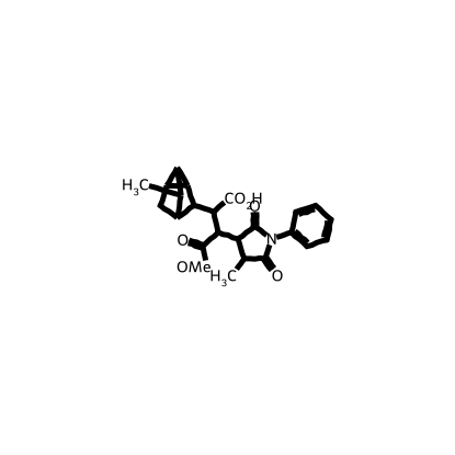 COC(=O)C(C1C(=O)N(c2ccccc2)C(=O)C1C)C(C(=O)O)C1C2CC3C(C2C)C31